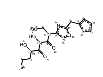 CC(C)CC[C@H](O)C(=O)N(O)C(=O)N(CC(C)(C)C)c1noc(Cc2cccs2)n1